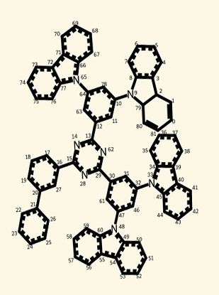 C1=CC2c3ccccc3N(c3cc(-c4nc(-c5cccc(-c6ccccc6)c5)nc(-c5cc(-n6c7ccccc7c7ccccc76)cc(-n6c7ccccc7c7ccccc76)c5)n4)cc(-n4c5ccccc5c5ccccc54)c3)C2C=C1